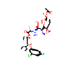 C=N/C(C(=O)N[C@@H](C)C(=O)O[C@@H](C)[C@@H](Oc1cc(F)cc(Cl)c1)C(CC)CC)=C(OCOC(C)=O)\C(=C/C)OC